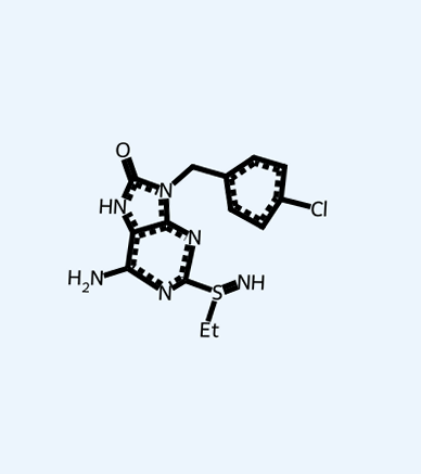 CCS(=N)c1nc(N)c2[nH]c(=O)n(Cc3ccc(Cl)cc3)c2n1